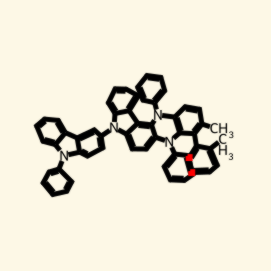 Cc1ccccc1-c1c(C)ccc2c1N(c1ccccc1)c1ccc3c(c1N2c1ccccc1)c1ccccc1n3-c1ccc2c(c1)c1ccccc1n2-c1ccccc1